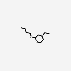 [CH2]CN1CCOC(OCCCC)C1